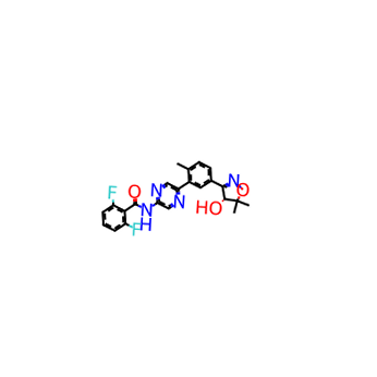 Cc1ccc(C2=NOC(C)(C)[C@@H]2O)cc1-c1cnc(NC(=O)c2c(F)cccc2F)cn1